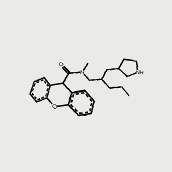 CCCC(CC1CCNC1)CN(C)C(=O)C1c2ccccc2Oc2ccccc21